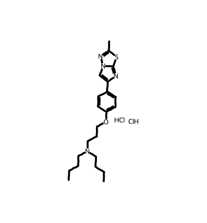 CCCCN(CCCC)CCCOc1ccc(-c2cn3nc(C)sc3n2)cc1.Cl.Cl